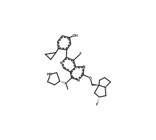 CN(c1nc(OC[C@@]23CCCN2C[C@H](F)C3)nc2c(F)c(-c3cc(O)ccc3C3CC3)ncc12)[C@@H]1CCNC1